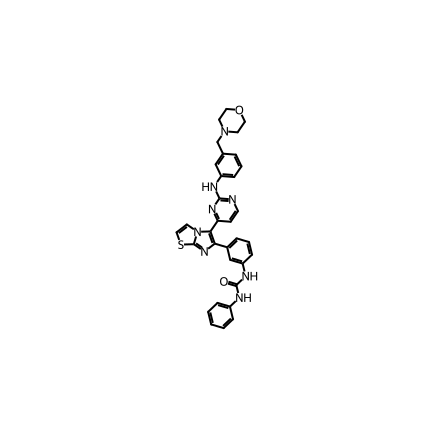 O=C(Nc1ccccc1)Nc1cccc(-c2nc3sccn3c2-c2ccnc(Nc3cccc(CN4CCOCC4)c3)n2)c1